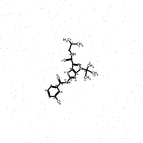 CC(C)CNC(=O)c1nn(C(C)(C)C)c2nc(NC(=O)c3cccc(Cl)c3)sc12